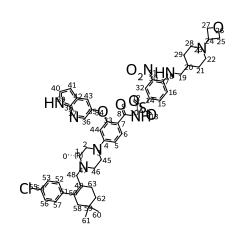 C[C@@H]1CN(c2ccc(C(=O)NS(=O)(=O)c3ccc(NCC4CCN(C5COC5)CC4)c([N+](=O)[O-])c3)c(Oc3cnc4[nH]ccc4c3)c2)CCN1CC1=C(c2ccc(Cl)cc2)CC(C)(C)CC1